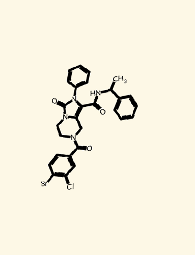 CC(NC(=O)c1c2n(c(=O)n1-c1ccccc1)CCN(C(=O)c1ccc(Br)c(Cl)c1)C2)c1ccccc1